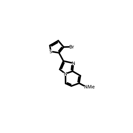 CNc1ccn2cc(-c3sccc3Br)nc2c1